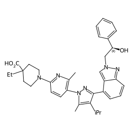 CCC1(C(=O)O)CCN(c2ccc(-n3nc(-c4cccc5nn(C[C@H](O)c6ccccc6)cc45)c(C(C)C)c3C)c(C)n2)CC1